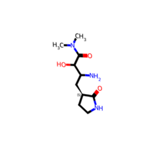 CN(C)C(=O)C(O)C(N)C[C@@H]1CCNC1=O